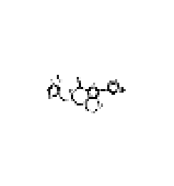 Cc1cnn(C[C@H]2CN3CCOc4c(-c5cn[nH]c5)sc(c43)C(=O)N2)c1